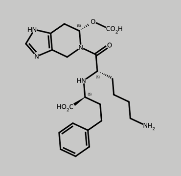 NCCCC[C@H](N[C@@H](CCc1ccccc1)C(=O)O)C(=O)N1Cc2nc[nH]c2C[C@@H]1OC(=O)O